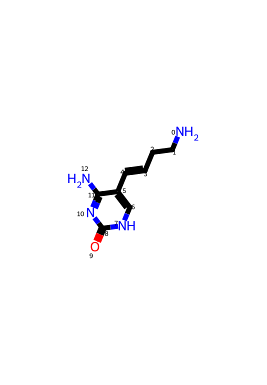 NCCC=Cc1c[nH]c(=O)nc1N